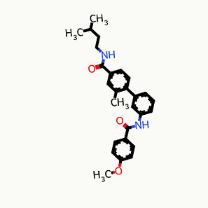 COc1ccc(C(=O)Nc2cccc(-c3ccc(C(=O)NCCC(C)C)cc3C)c2)cc1